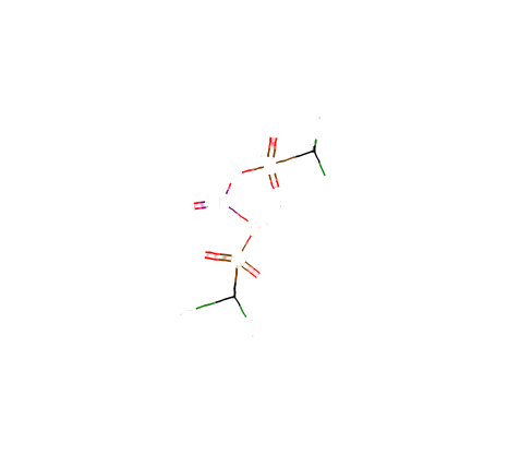 O=[PH](OS(=O)(=O)C(F)F)OS(=O)(=O)C(F)F